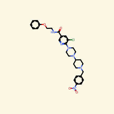 O=C(NCCOc1ccccc1)c1cnc(N2CCN(C3CCN(Cc4ccc([N+](=O)[O-])cc4)CC3)CC2)c(Cl)c1